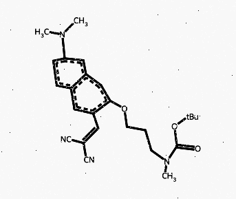 CN(CCCOc1cc2cc(N(C)C)ccc2cc1C=C(C#N)C#N)C(=O)OC(C)(C)C